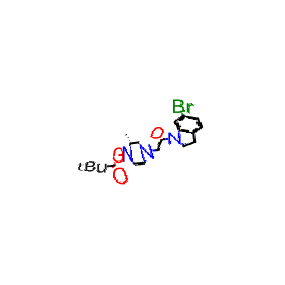 C[C@@H]1CN(CC(=O)N2CCc3ccc(Br)cc32)CCN1OC(=O)C(C)(C)C